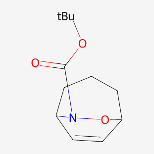 CC(C)(C)OC(=O)N1OC2C=CC1CCC2